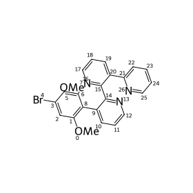 COc1cc(Br)cc(OC)c1-c1cccnc1-c1ncccc1-c1ccccn1